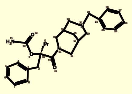 CC(C)[C@](Cc1ccccc1)(OC(N)=O)C(=O)N1CC2CC(CN(Cc3ccccc3)C2)C1